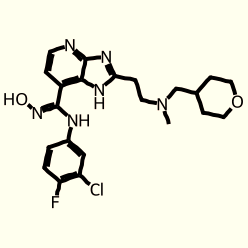 CN(CCc1nc2nccc(/C(=N\O)Nc3ccc(F)c(Cl)c3)c2[nH]1)CC1CCOCC1